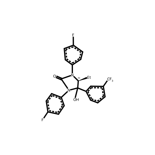 CC[C@@H]1N(c2ccc(F)cc2)C(=O)N(c2ccc(F)cc2)C1(O)c1cccc(C(F)(F)F)c1